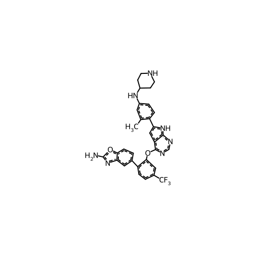 Cc1cc(NC2CCNCC2)ccc1-c1cc2c(Oc3cc(C(F)(F)F)ccc3-c3ccc4oc(N)nc4c3)ncnc2[nH]1